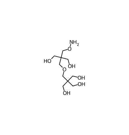 NOCC(CO)(CO)COCC(CO)(CO)CO